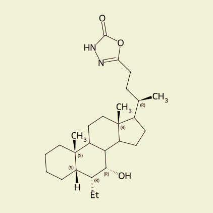 CC[C@H]1[C@@H](O)C2C3CCC([C@H](C)CCc4n[nH]c(=O)o4)[C@@]3(C)CCC2[C@@]2(C)CCCC[C@@H]12